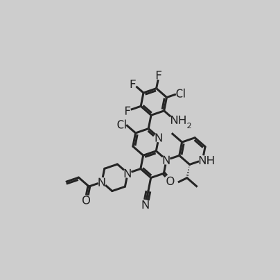 C=CC(=O)N1CCN(c2c(C#N)c(=O)n(C3=C(C)C=CN[C@@H]3C(C)C)c3nc(-c4c(N)c(Cl)c(F)c(F)c4F)c(Cl)cc23)CC1